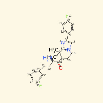 CC1(C)c2nc(-c3ccc(F)cc3)cn2CCC1C(=O)C(N)CCc1cccc(F)c1